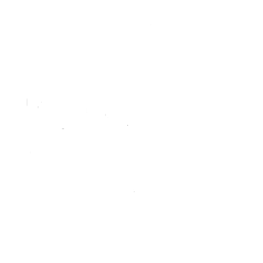 Cc1ccc([PH](c2ccccc2)(c2ccccc2)C(C)(C)CC(C)(C)C)cc1